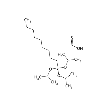 CCCCCCCCC[Si](OC(C)C)(OC(C)C)OC(C)C.OC=S